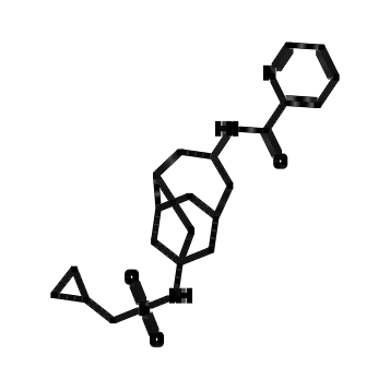 O=C(NC1CC2CC3CC(NS(=O)(=O)CC4CC4)(C2)CC3C1)c1ccccn1